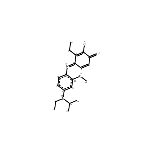 CCC1=C(Cl)C(=O)[C]=CC1=Nc1ccc(N(CC)C(C)C)cc1OC